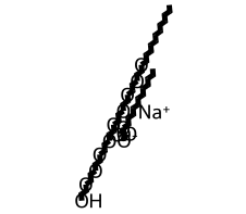 CCCCCCCCCCCCOCCOCCOCCOCCOCCOCCOCCOCCOCCO.CCCCCCCCCCCCOS(=O)(=O)[O-].[Na+]